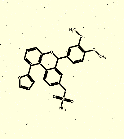 COc1ccc(C2Oc3cccc(-c4ccco4)c3-c3ccc(CS(N)(=O)=O)cc32)cc1OC